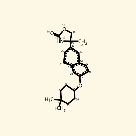 CC1(C)CCC(Oc2ccc3cc(C4(C)COC(=O)N4)ccc3c2)CC1